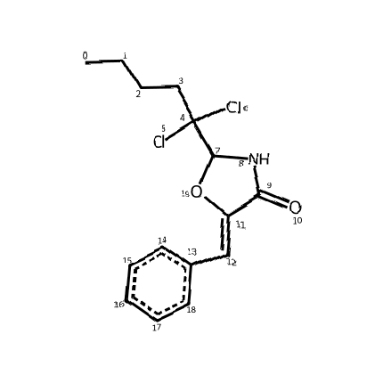 CCCCC(Cl)(Cl)C1NC(=O)/C(=C/c2ccccc2)O1